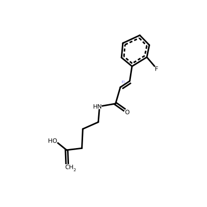 C=C(O)CCCNC(=O)/C=C/c1ccccc1F